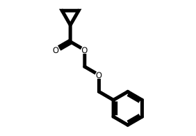 O=C(OCOCc1ccccc1)C1CC1